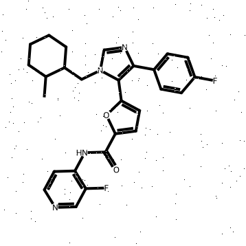 CC1CCCCC1Cn1cnc(-c2ccc(F)cc2)c1-c1ccc(C(=O)Nc2ccncc2F)o1